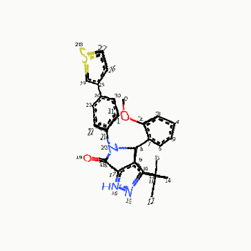 COc1ccccc1C1c2c(C(C)(C)C)n[nH]c2C(=O)N1c1ccc(-c2ccsc2)cc1